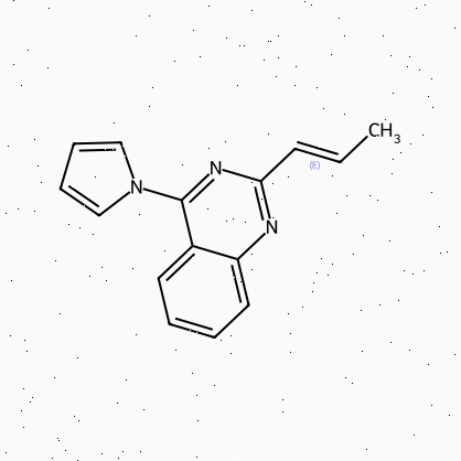 C/C=C/c1nc(-n2cccc2)c2ccccc2n1